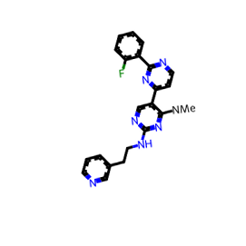 CNc1nc(NCCc2cccnc2)ncc1-c1ccnc(-c2ccccc2F)n1